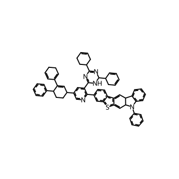 C1=CCC(C2N=C(C3CC=CCC3)N=C(c3cc(C4C=C(C5=CCCC=C5)C(c5ccccc5)CC4)cnc3-c3ccc4c5c(sc4c3)=CC3C(C=5)c4ccccc4N3c3ccccc3)N2)C=C1